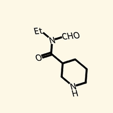 CCN(C=O)C(=O)C1CCCNC1